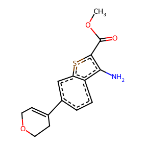 COC(=O)c1sc2cc(C3=CCOCC3)ccc2c1N